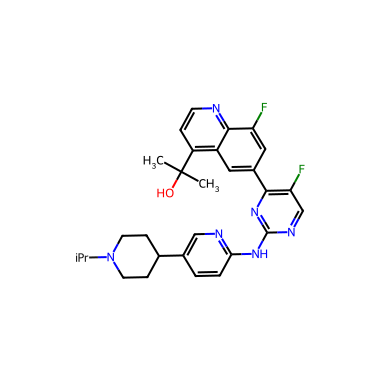 CC(C)N1CCC(c2ccc(Nc3ncc(F)c(-c4cc(F)c5nccc(C(C)(C)O)c5c4)n3)nc2)CC1